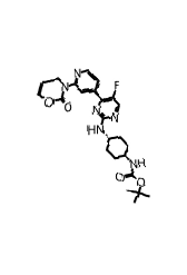 CC(C)(C)OC(=O)N[C@H]1CC[C@H](Nc2ncc(F)c(-c3ccnc(N4CCCOC4=O)c3)n2)CC1